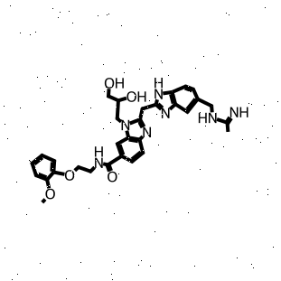 COc1ccccc1OCCNC(=O)c1ccc2nc(Cc3nc4cc(CNC(C)=N)ccc4[nH]3)n(CC(O)CO)c2c1